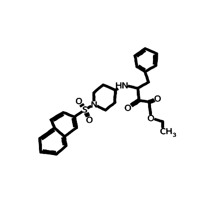 CCOC(=O)C(=O)C(Cc1ccccc1)NC1CCN(S(=O)(=O)c2ccc3ccccc3c2)CC1